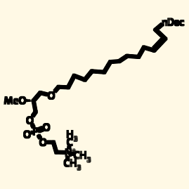 CCCCCCCCCCC/C=C\CCCCCCCCCCCOC[C@H](COP(=O)([O-])OCC[N+](C)(C)C)OC